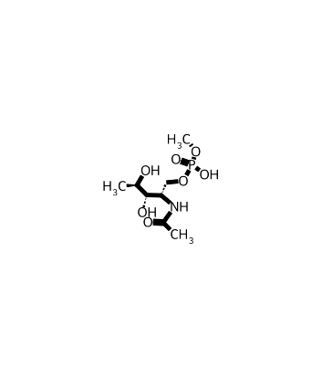 COP(=O)(O)OC[C@H](NC(C)=O)[C@H](O)[C@@H](C)O